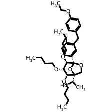 CCCCO[C@@H]1[C@@H](OCCCC)[C@@]2(c3ccc(Cl)c(Cc4ccc(OCC)cc4)c3)OC[C@](C(C)O)(O2)[C@H]1OCCCC